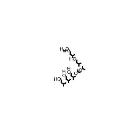 CC(C)=O.CC(C)=O.CC(C)CCO.CC(C)CCO.CC(C)CCO.CC(C)CCO.CC(C)CCO.O